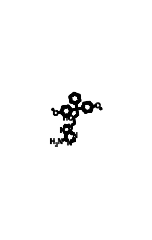 COc1ccc(C(C[C@H](O)Cn2cnc3c(N)ncnc32)(c2ccccc2)c2ccc(OC)cc2)cc1